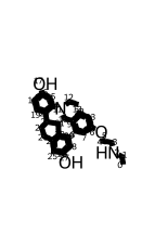 CCNCCOc1ccc(CN(CC)c2cc(O)ccc2C2CCc3cc(O)ccc3C2)cc1